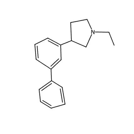 CCN1CCC(c2cccc(-c3ccccc3)c2)C1